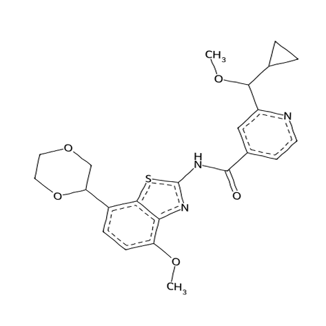 COc1ccc(C2COCCO2)c2sc(NC(=O)c3ccnc(C(OC)C4CC4)c3)nc12